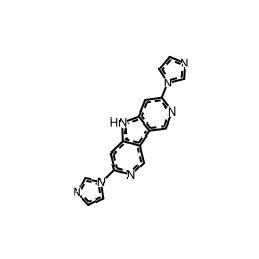 c1cn(-c2cc3[nH]c4cc(-n5ccnc5)ncc4c3cn2)cn1